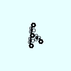 O=C(Oc1ccccc1)Oc1cc(OC(=O)Oc2ccccc2)cc(OC(=O)Oc2ccccc2)c1